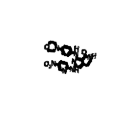 O=c1[nH]ccc2cc(Nc3ccc([N+](=O)[O-])cn3)nc(Nc3ccc(N4CCOCC4)cc3)c12